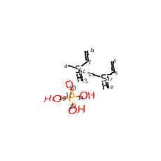 C=C[SiH](C)C.C=C[SiH](C)C.O=P(O)(O)O